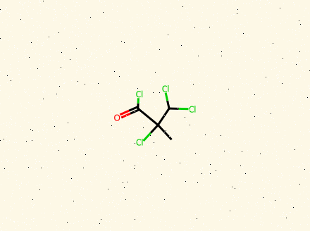 CC(Cl)(C(=O)Cl)C(Cl)Cl